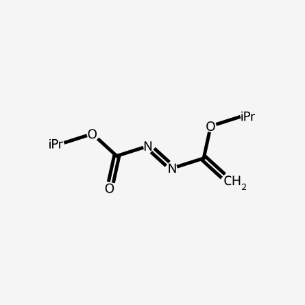 C=C(/N=N/C(=O)OC(C)C)OC(C)C